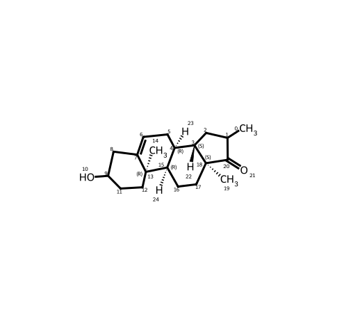 CC1C[C@H]2[C@@H]3CC=C4CC(O)CC[C@]4(C)[C@@H]3CC[C@]2(C)C1=O